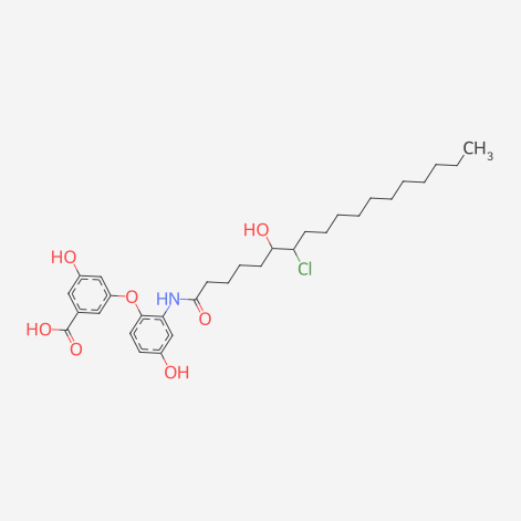 CCCCCCCCCCCC(Cl)C(O)CCCCC(=O)Nc1cc(O)ccc1Oc1cc(O)cc(C(=O)O)c1